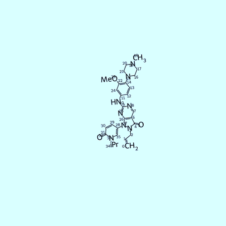 C=CCn1c(=O)c2cnc(Nc3ccc(N4CCN(C)CC4)c(OC)c3)nc2n1-c1ccc(=O)n(C(C)C)c1